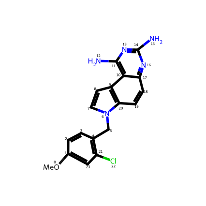 COc1ccc(Cn2ccc3c4c(N)nc(N)nc4ccc32)c(Cl)c1